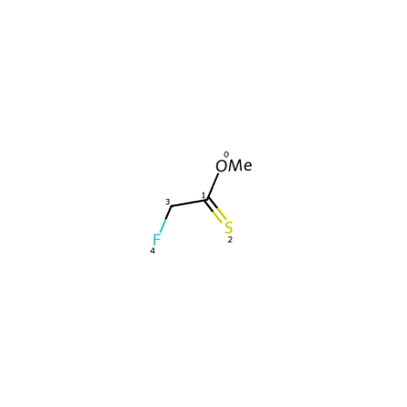 COC(=S)CF